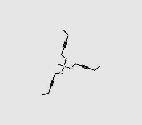 CCC#CCO[Si](C)(OCC#CCC)OCC#CCC